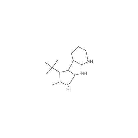 CC1NC2NC3NCCCC3C2C1C(C)(C)C